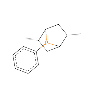 C[C@H]1CC2[C@@H](C)CC1P2c1ccccc1